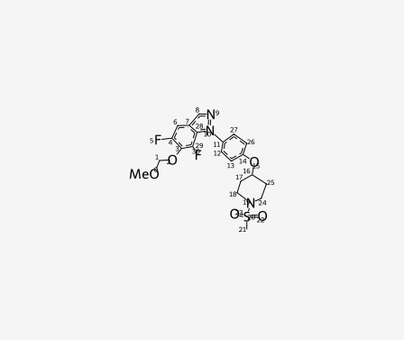 COCOc1c(F)cc2cnn(-c3ccc(OC4CCN(S(C)(=O)=O)CC4)cc3)c2c1F